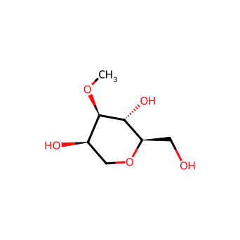 CO[C@H]1[C@H](O)[C@@H](CO)OC[C@H]1O